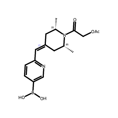 CC(=O)OCC(=O)N1[C@H](C)C/C(=C\c2ccc(B(O)O)cn2)C[C@@H]1C